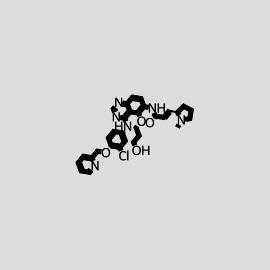 CN1CCC[C@@H]1/C=C/C(=O)Nc1ccc2ncnc(Nc3ccc(OCc4ccccn4)c(Cl)c3)c2c1OCCCO